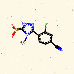 Cn1c(-c2ccc(C#N)cc2Br)n[nH]c1=S(=O)=O